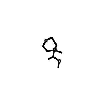 COC(C)[N+]1(C)CCOCC1